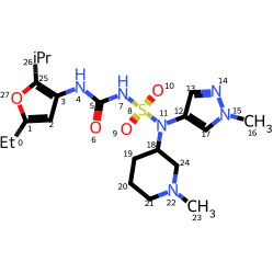 CCc1cc(NC(=O)NS(=O)(=O)N(c2cnn(C)c2)C2CCCN(C)C2)c(C(C)C)o1